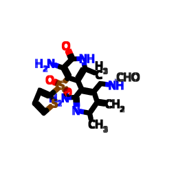 C=C1C(CNC=O)=C(c2c(C)[nH]c(=O)c(N)c2S(=O)(=O)c2cccs2)C(N)=NC1C